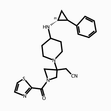 N#CCC1(N2CCC(N[C@@H]3CC3c3ccccc3)CC2)CN(C(=O)c2nccs2)C1